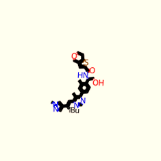 CCC(C)/C(=C\c1ncnc(-c2ccc(C(CO)NC(=O)c3cc4c(s3)CCOC4)c(C)c2)c1C)c1cnn(C)c1